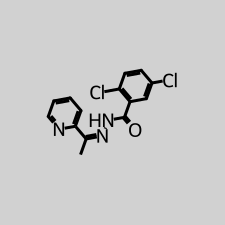 CC(=NNC(=O)c1cc(Cl)ccc1Cl)c1ccccn1